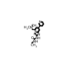 CCNC(=O)Nc1nc2cc(-c3cccnc3)cc(CN(C)C)n2n1